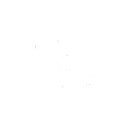 COc1cc(C2Oc3cc(-c4oc5cc(O)cc(O)c5c(=O)c4O)ccc3OC2CO)ccc1O